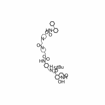 CC(C)(C)[Si](C)(C)O[C@@H](CNCc1ccc(NC(=O)OCC2CCN(C(=O)CCN3CCC(OC(=O)Nc4ccccc4-c4ccccc4)CC3)CC2)cc1)c1ccc(O)c2[nH]c(=O)ccc12